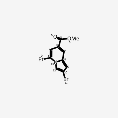 CCc1cc(C(=O)OC)cc2cc(Br)cn12